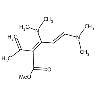 C=C(C)/C(C(=O)OC)=C(/C=C/N(C)C)N(C)C